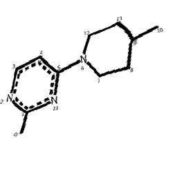 Cc1nccc(N2CCC(C)CC2)n1